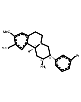 COc1cc2c(cc1OC)[C@@H]1C[C@H](N)[C@@H](c3cccc(C(C)C)c3)CN1CC2